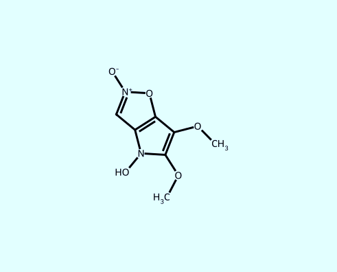 COc1c(OC)n(O)c2c[n+]([O-])oc12